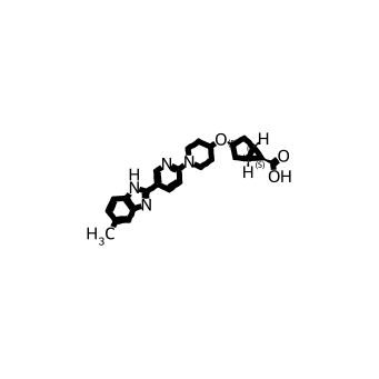 Cc1ccc2[nH]c(-c3ccc(N4CCC(O[C@@H]5C[C@@H]6[C@H](C5)[C@@H]6C(=O)O)CC4)nc3)nc2c1